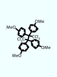 COc1ccc(C(c2ccc(OC)cc2)(C(Cl)(Cl)Cl)C(c2ccc(OC)cc2)(c2ccc(OC)cc2)C(Cl)(Cl)Cl)cc1